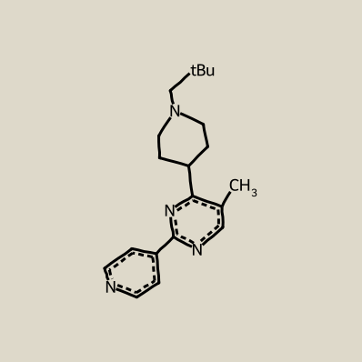 Cc1cnc(-c2ccncc2)nc1C1CCN(CC(C)(C)C)CC1